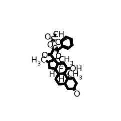 CC1C[C@H]2[C@@H]3CCC4CC(=O)CC[C@]4(C)[C@@]3(F)C(O)C[C@]2(C)[C@@]1(OC(=O)c1ccccc1)C(=O)COS(C)(=O)=O